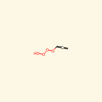 C=C=COOOO